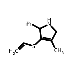 C=CSC1=C(C)CNC1C(C)C